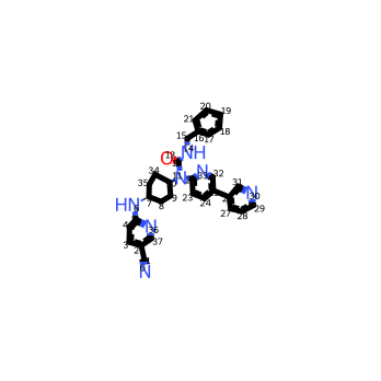 N#Cc1ccc(N[C@H]2CC[C@H](N(C(=O)NCc3ccccc3)c3ccc(-c4cccnc4)cn3)CC2)nc1